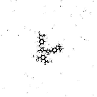 Cc1c(C(=O)O)cccc1C(=O)O.Cc1cc(-c2nc(-c3ccc(C4(C(F)(F)F)CC4)cc3)no2)nn1Cc1cccc(CC(C)O)c1